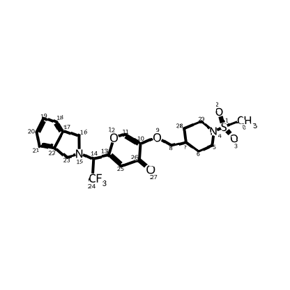 CS(=O)(=O)N1CCC(COc2coc(C(N3Cc4ccccc4C3)C(F)(F)F)cc2=O)CC1